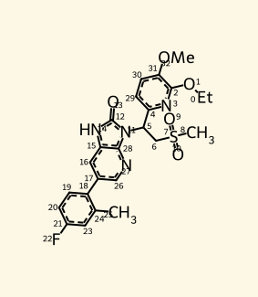 CCOc1nc(C(CS(C)(=O)=O)n2c(=O)[nH]c3cc(-c4ccc(F)cc4C)cnc32)ccc1OC